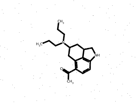 CCCN(CCC)C1Cc2c(C(C)=O)ccc3c2C(CN3)C1